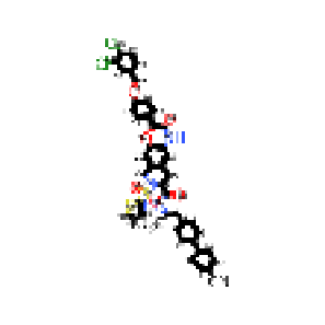 N#Cc1ccc(-c2ccc(C[C@H](NC(=O)C3Cc4cc5c(cc4CN3S(=O)(=O)c3cccs3)OC(c3ccc(OCc4ccc(Cl)c(Cl)c4)cc3)C(=O)N5)C(=O)O)cc2)cc1